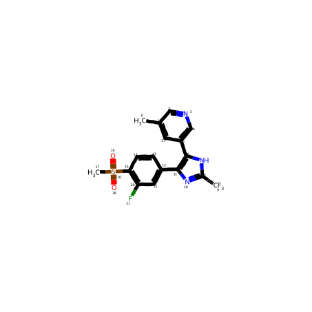 Cc1cncc(-c2[nH]c(C(F)(F)F)nc2-c2ccc(S(C)(=O)=O)c(F)c2)c1